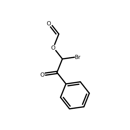 O=COC(Br)C(=O)c1ccccc1